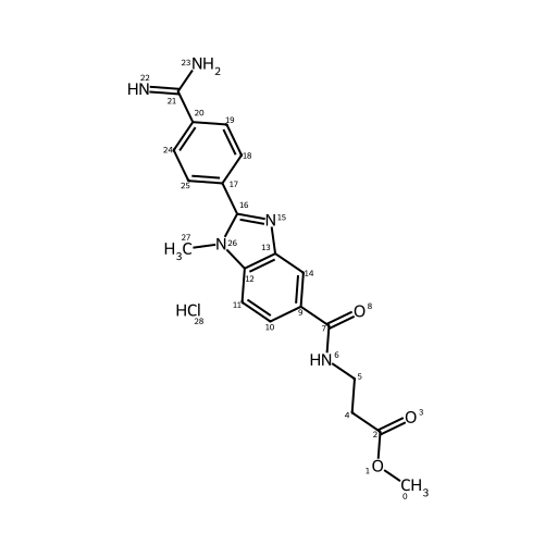 COC(=O)CCNC(=O)c1ccc2c(c1)nc(-c1ccc(C(=N)N)cc1)n2C.Cl